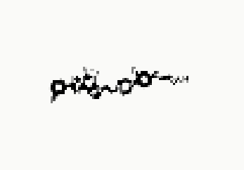 COCCOc1ccc(N2CCN(CCn3cnc4c3nc(N)n3nc(-c5cccc(F)c5)nc43)CC2)c(F)c1